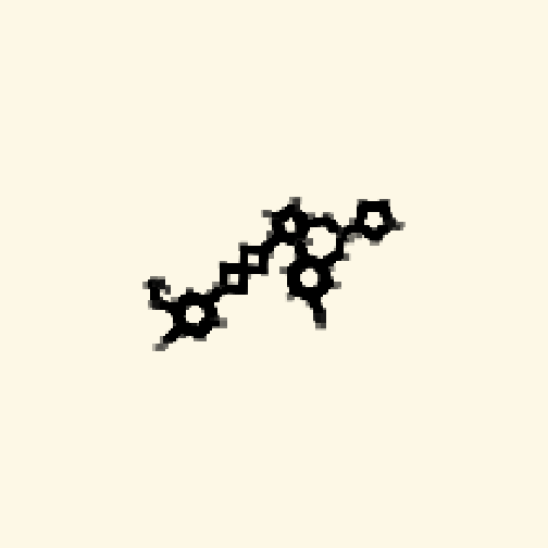 COc1cc(N2CC3(CC(c4nnc5n4-c4ccc(Cl)cc4CN([C@H]4CCOC4)C5)C3)C2)ncc1F